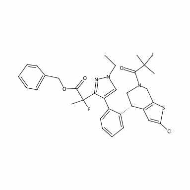 CCn1cc(-c2ccccc2[C@@H]2CN(C(=O)C(C)(C)I)Cc3sc(Cl)cc32)c(C(C)(F)C(=O)OCc2ccccc2)n1